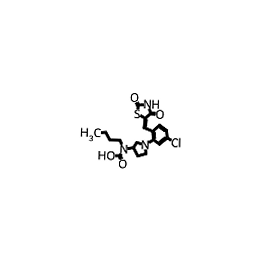 CCCCN(C(=O)O)C1CCN(c2cc(Cl)ccc2C=C2SC(=O)NC2=O)C1